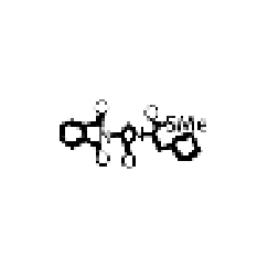 CSC(=O)/C(=C\c1ccccc1)N1CC(N2C(=O)c3ccccc3C2=O)C1=O